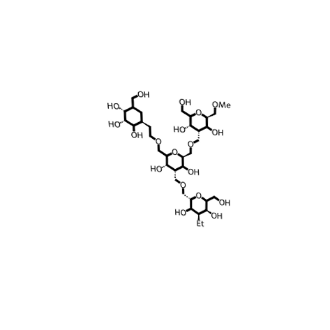 CC[C@H]1C(O)[C@H](COC[C@H]2C(O)[C@H](COC[C@H]3C(O)[C@H](COC)OC(CO)[C@H]3O)OC(COCC[C@@H]3CC(CO)[C@@H](O)[C@@H](O)C3O)[C@H]2O)OC(CO)[C@H]1O